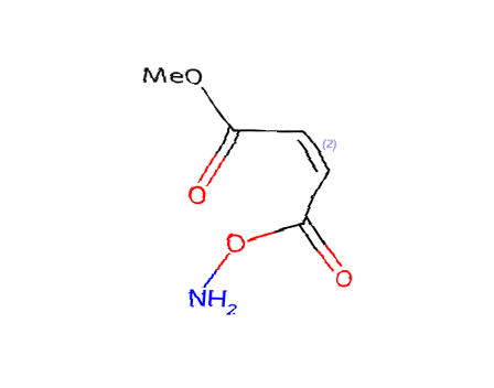 COC(=O)/C=C\C(=O)ON